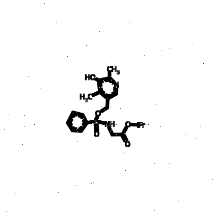 Cc1ncc(COP(=O)(NCC(=O)OC(C)C)c2ccccc2)c(C)c1O